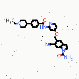 CCN1CCC(c2ccc(C(=O)Nc3cc(OCc4cc5ccn(C(N)=O)c5cc4C#N)ccn3)cc2)CC1